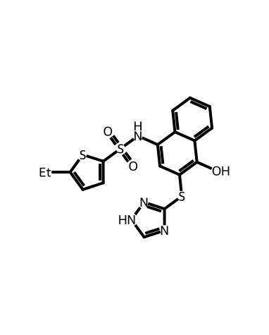 CCc1ccc(S(=O)(=O)Nc2cc(Sc3nc[nH]n3)c(O)c3ccccc23)s1